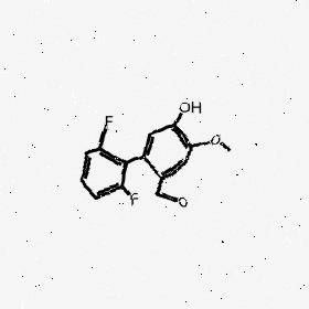 COc1cc(C=O)c(-c2c(F)cccc2F)cc1O